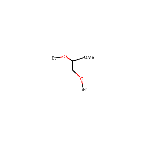 CCOC(COC(C)C)OC